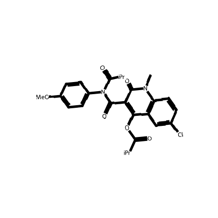 COc1ccc(N(C(=O)c2c(OC(=O)C(C)C)c3cc(Cl)ccc3n(C)c2=O)C(=O)C(C)C)cc1